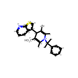 CC(=O)C1=C(C)N(C(C)(C)c2ccccc2)C(C)=C(C(=O)O)C1c1csc2ncccc12